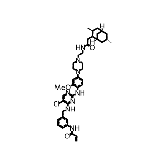 C=CC(=O)Nc1cccc(CNc2nc(Nc3ccc(N4CCN(CCNC(=O)CC5[C@H]6C[C@@H](C)C[C@H](C6)C[C@@H]5C)CC4)cc3OC)ncc2Cl)c1